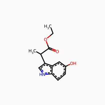 CCOC(=O)C(C)c1c[nH]c2ccc(O)cc12